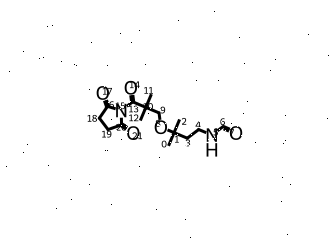 CC(C)(CCNC=O)OCC(C)(C)C(=O)N1C(=O)CCC1=O